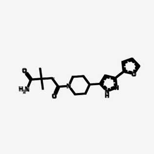 CC(C)([CH]C(=O)N1CCC(c2cc(-c3ccco3)n[nH]2)CC1)C(N)=O